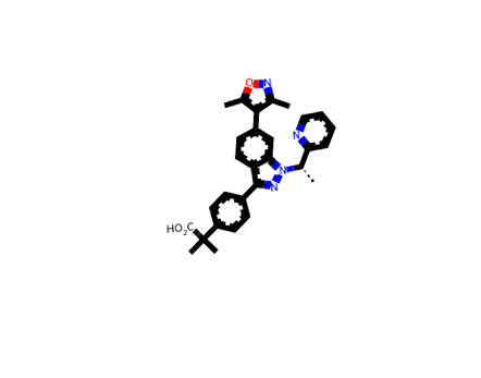 Cc1noc(C)c1-c1ccc2c(-c3ccc(C(C)(C)C(=O)O)cc3)nn([C@@H](C)c3ccccn3)c2c1